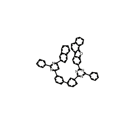 c1ccc(-c2nc(-c3cccc(-c4cccc(-c5nc(-c6ccccc6)nc(-c6ccc7c(c6)oc6c8ccccc8ccc76)n5)c4)c3)cc(-c3ccc4ccccc4c3)n2)cc1